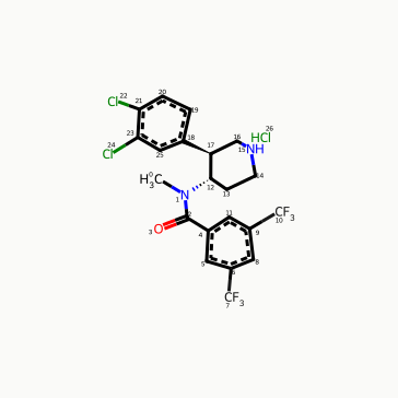 CN(C(=O)c1cc(C(F)(F)F)cc(C(F)(F)F)c1)[C@H]1CCNC[C@@H]1c1ccc(Cl)c(Cl)c1.Cl